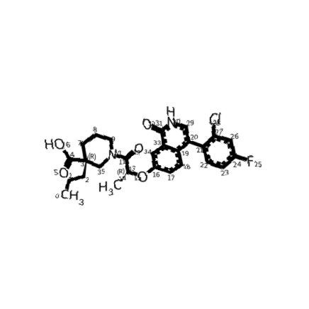 CCC[C@@]1(C(=O)O)CCCN(C(=O)[C@@H](C)Oc2ccc3c(-c4ccc(F)cc4Cl)c[nH]c(=O)c3c2)C1